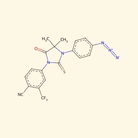 CC1(C)C(=O)N(c2ccc(C#N)c(C(F)(F)F)c2)C(=S)N1c1ccc(N=[N+]=[N-])cc1